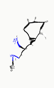 CCNC[C@@H](N)CC1CCCCC1